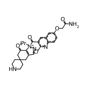 CC(C)[N+]1(C(=O)c2cc3cc(OCC(N)=O)ccc3nc2Cl)N=CC2=C1C(=O)CC1(CCNCC1)C2